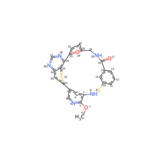 COc1ncc2cc1NSc1cccc(c1)C(=O)NCc1ccc(o1)-c1ncnc3cc-2sc13